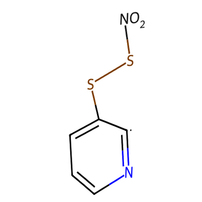 O=[N+]([O-])SSc1[c]nccc1